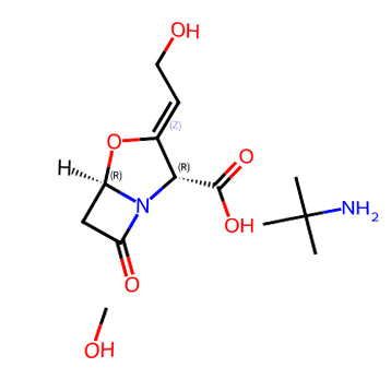 CC(C)(C)N.CO.O=C(O)[C@H]1/C(=C/CO)O[C@@H]2CC(=O)N21